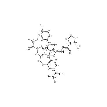 CN(C)C(=O)c1ccc2c(c1)CCc1cc(C(=O)N(C)C)ccc1C2(CCNCC(=O)N1CCCC1C#N)c1nnc(-c2ccc(F)cc2)[nH]1